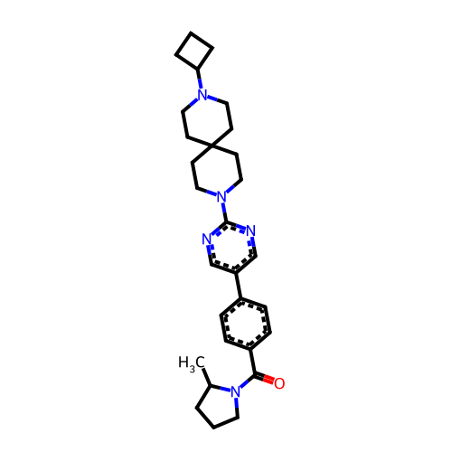 CC1CCCN1C(=O)c1ccc(-c2cnc(N3CCC4(CC3)CCN(C3CCC3)CC4)nc2)cc1